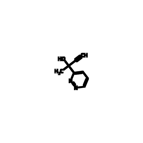 C#CC(C)(O)c1cccnn1